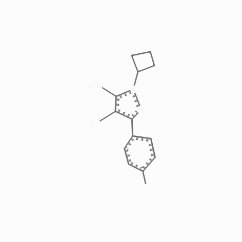 CNc1c(C#N)c(-c2ccc(Br)cc2)nn1C1CCC1